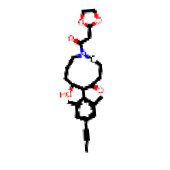 CC#Cc1cc(C)c(C2C(=O)CCCN(C(=O)CC3OCCO3)CCCC2O)c(C)c1